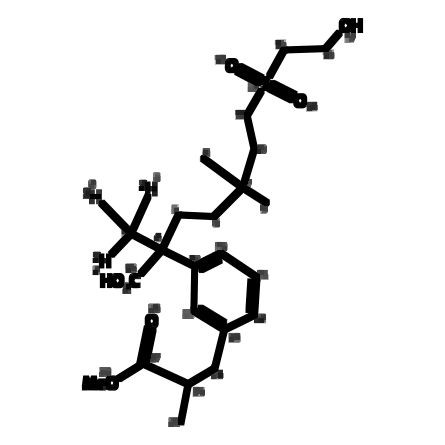 [2H]C([2H])([2H])C(CCC(C)(C)CCS(=O)(=O)CCO)(C(=O)O)c1cccc(CC(C)C(=O)OC)c1